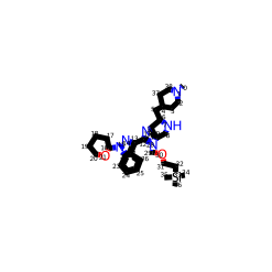 CN1CCC(CC2NCc3c2nc(-c2nn(C4CCCCO4)c4ccccc24)n3COCC[Si](C)(C)C)CC1